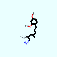 CCOc1ccc(CCCC(C)CC(CN)C(=O)O)c(OCC)c1